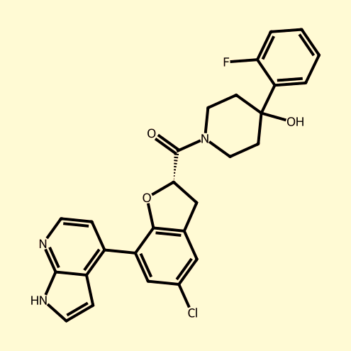 O=C([C@@H]1Cc2cc(Cl)cc(-c3ccnc4[nH]ccc34)c2O1)N1CCC(O)(c2ccccc2F)CC1